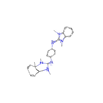 CN1/C(=N/c2ccc(N=c3n(C)c4ccccc4n3C)cc2)N(C)C2(C)C=CC=CC12